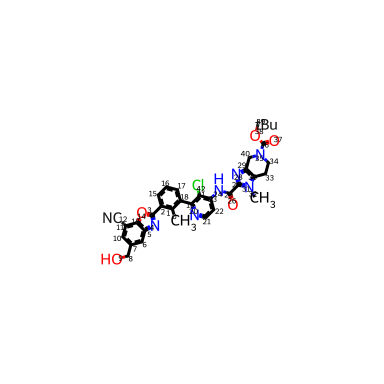 Cc1c(-c2nc3cc(CO)cc(C#N)c3o2)cccc1-c1nccc(NC(=O)c2nc3c(n2C)CCN(C(=O)OC(C)(C)C)C3)c1Cl